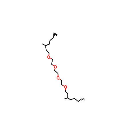 CC(C)CCCC(C)CCOCCOCCOCCOCCC(C)CCCC(C)C